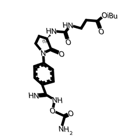 CC(C)COC(=O)CCNC(=O)N[C@H]1CCN(c2ccc(C(=N)NOC(N)=O)cc2)C1=O